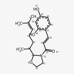 CC(C)=CCCC(C)C1OCCN1C(=O)/C=C/c1ccc(O)cc1O